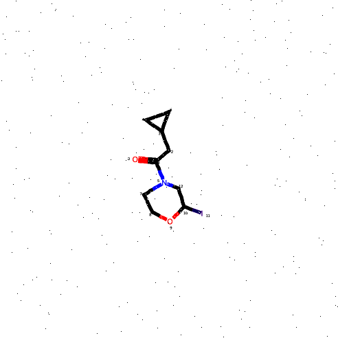 O=C(CC1CC1)N1CCOC(I)C1